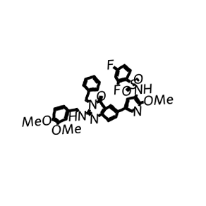 COc1ccc(CNc2nc3ccc(-c4cnc(OC)c(NS(=O)(=O)c5ccc(F)cc5F)c4)cc3c(=O)n2Cc2ccccc2)cc1OC